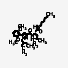 CCCCCCNC(=O)C[C@H](CC(C)C)NC(=O)c1cc(-c2c(OC)cccc2OC)n(CC(CC)CC)n1